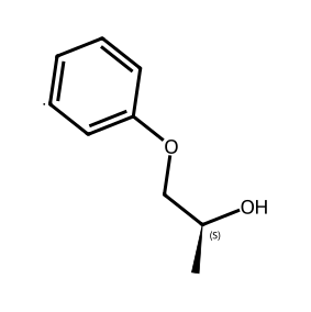 C[C@H](O)COc1c[c]ccc1